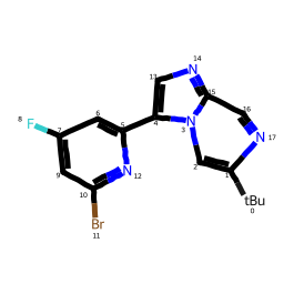 CC(C)(C)c1cn2c(-c3cc(F)cc(Br)n3)cnc2cn1